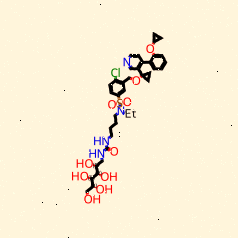 CCN(CCCCNC(=O)NC[C@H](O)[C@@H](O)[C@H](O)[C@H](O)CO)S(=O)(=O)c1ccc(Cl)c(COC2(c3cnccc3-c3ccccc3OC3CC3)CC2)c1